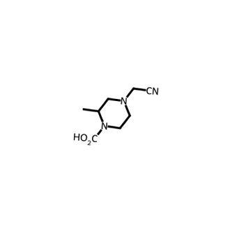 CC1CN(CC#N)CCN1C(=O)O